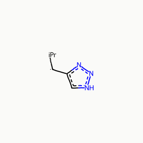 CC(C)[CH]c1c[nH]nn1